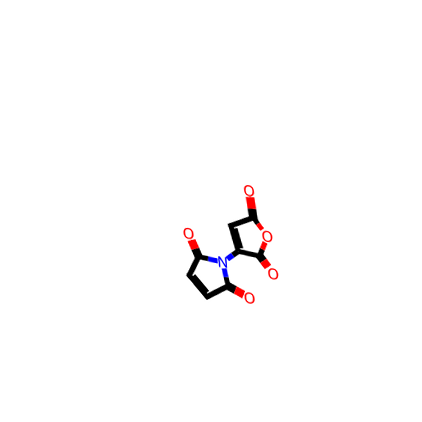 O=C1C=C(N2C(=O)C=CC2=O)C(=O)O1